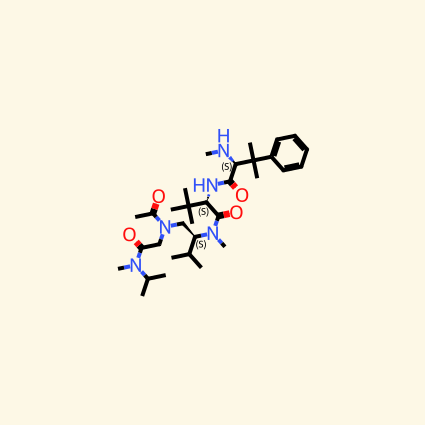 CN[C@H](C(=O)N[C@H](C(=O)N(C)[C@H](CN(CC(=O)N(C)C(C)C)C(C)=O)C(C)C)C(C)(C)C)C(C)(C)c1ccccc1